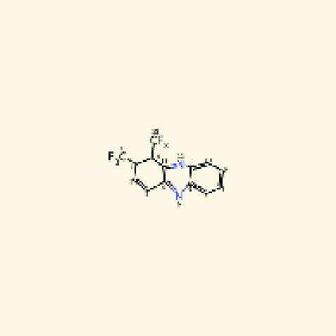 FC(F)(F)C1C=Cc2nc3ccccc3nc2C1C(F)(F)F